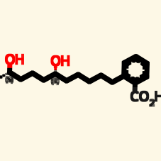 C[C@H](O)CCC[C@H](O)CCCCCc1ccccc1C(=O)O